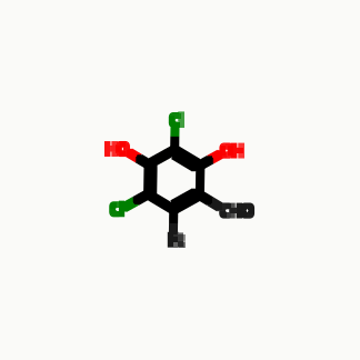 CCc1c(Cl)c(O)c(Cl)c(O)c1C=O